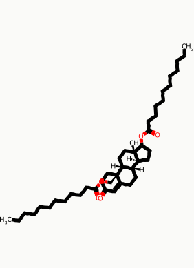 CCCCCCCCCCCC(=O)OC[C@]12CCC(=O)C=C1CC[C@@H]1[C@H]2CC[C@]2(C)C(OC(=O)CCCCCCCCCCC)CC[C@@H]12